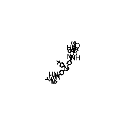 COC(=O)N[C@H](C(=O)N1CCC[C@H]1c1c[nH]c(-c2ccc([C@@H]3CC[C@@H](c4ccc(-c5nc([C@@H]6CCCN6C(=O)[CH]C(C)C)c[nH]5)cc4)N3c3ccc(C(C)(C)C)cc3)cc2)n1)C(C)C